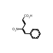 O=C(O)C=CC(=Cc1ccccc1)[N+](=O)[O-]